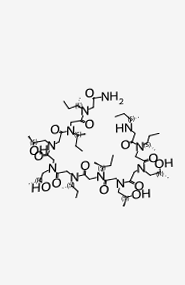 CC[C@H](C)NCC(=O)N(CC(=O)N(CC(=O)N(CC(=O)N(CC(=O)N(CC(=O)N(CC(=O)N(CC(=O)N(CC(=O)N(CC(N)=O)[C@@H](C)CC)[C@@H](C)CC)C[C@H](C)O)C[C@@H](C)O)[C@@H](C)CC)[C@@H](C)CC)C[C@H](C)O)C[C@@H](C)O)[C@@H](C)CC